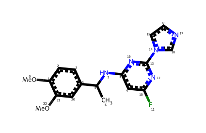 COc1ccc(C(C)Nc2cc(F)nc(-n3ccnc3)n2)cc1OC